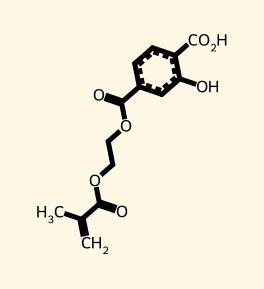 C=C(C)C(=O)OCCOC(=O)c1ccc(C(=O)O)c(O)c1